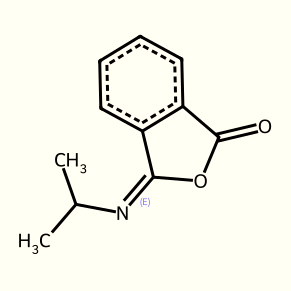 CC(C)/N=C1/OC(=O)c2ccccc21